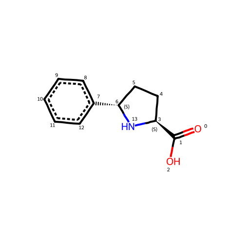 O=C(O)[C@@H]1CC[C@@H](c2ccccc2)N1